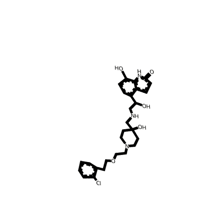 O=c1ccc2c(C(O)CNCC3(O)CCN(CCOCCc4ccccc4Cl)CC3)ccc(O)c2[nH]1